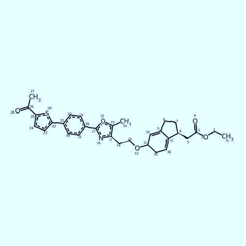 CCOC(=O)C[C@@H]1CCC2=CC(OCCc3nc(-c4ccc(-c5ccc(C(C)=O)s5)cc4)oc3C)CC=C21